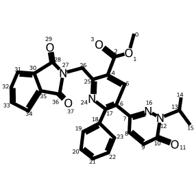 COC(=O)c1cc(-c2ccc(=O)n(C(C)C)n2)c(-c2ccccc2)nc1CN1C(=O)c2ccccc2C1=O